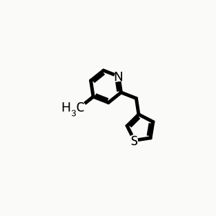 Cc1ccnc(Cc2ccsc2)c1